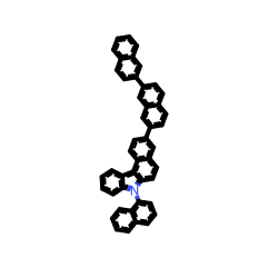 c1ccc2cc(-c3ccc4ccc(-c5ccc6c(ccc7c6c6ccccc6n7-c6cccc7ccccc67)c5)cc4c3)ccc2c1